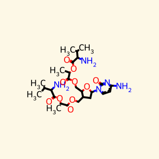 CC(OC(=O)C(N)C(C)C)C(=O)OCC1CC(n2ccc(N)nc2=O)OC1COC(=O)C(C)OC(=O)C(N)C(C)C